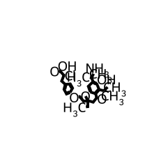 CCC1(CCOc2ccc(CC(Cl)C(=O)O)cc2)CC(=O)c2c(cc(C(C)C)c(O)c2C(C)C)O1.N